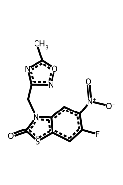 Cc1nc(Cn2c(=O)sc3cc(F)c([N+](=O)[O-])cc32)no1